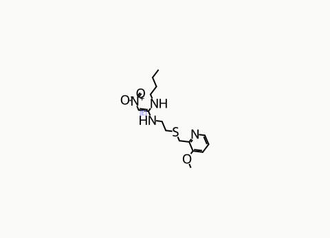 CCCCN/C(=C\[N+](=O)[O-])NCCSCc1ncccc1OC